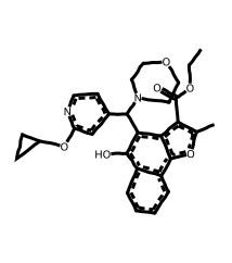 CCOC(=O)c1c(C)oc2c1c(C(c1ccnc(OC3CC3)c1)N1CCOCC1)c(O)c1ccccc12